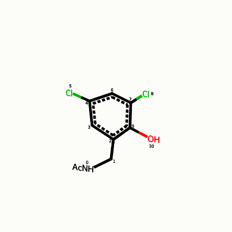 CC(=O)NCc1cc(Cl)cc(Cl)c1O